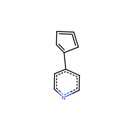 C1=CC=C(c2ccncc2)C=1